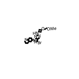 COCCO[C@H]1C[C@H](Nc2ncc3c(Br)nn(-c4ccc5ncccc5c4)c3n2)C1